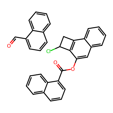 O=C(Oc1cc2ccccc2c2c1C(Cl)C2)c1cccc2ccccc12.O=Cc1cccc2ccccc12